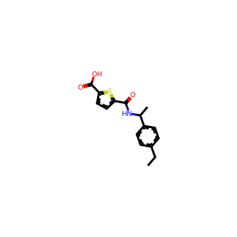 CCc1ccc(C(C)NC(=O)c2ccc(C(=O)O)s2)cc1